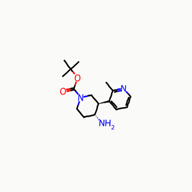 Cc1ncccc1[C@@H]1CN(C(=O)OC(C)(C)C)CC[C@H]1N